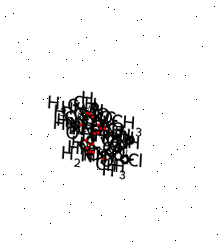 CC(=O)N[C@H](Cc1ccc2c(c1)CC=CC2)C(=O)NC(Cc1ccc(Cl)cc1)C(=O)N[C@H](Cc1cccnc1)C(=O)N[C@@H](CO)C(=O)NC(Cc1ccc(NC(=O)C2CC(=O)NC(=O)N2)cc1)C(=O)NC(Cc1ccc(NC(N)=O)cc1)C(=O)NC(CC(C)C)C(=O)N[C@@H](CCCCNC(C)C)C(=O)N1CCC[C@H]1C(=O)N[C@H](C)C(N)=O